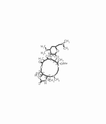 CC[C@H]1OC(=O)C(C)C(=O)[C@H](C)[C@@H](OC2OC(CN(C)C)CC(N(C)C)C2O)[C@](C)(OC)CCCN(C)[C@H](C)[C@H]2NC(=O)O[C@@]21C